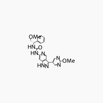 COC[C@@H](NC(=O)Nc1cc2[nH]nc(-c3cnc(OC)nc3)c2cn1)c1ccccc1